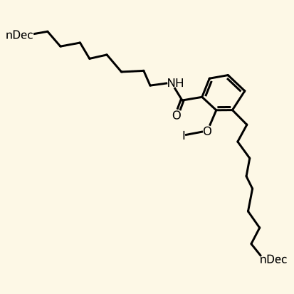 CCCCCCCCCCCCCCCCCCNC(=O)c1cccc(CCCCCCCCCCCCCCCCCC)c1OI